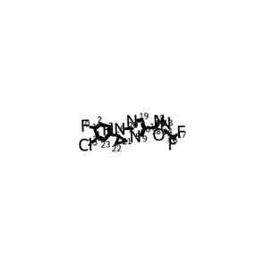 Fc1ccc(C2(Nc3ncc(-c4nnc(C(F)F)o4)cn3)CC2)cc1Cl